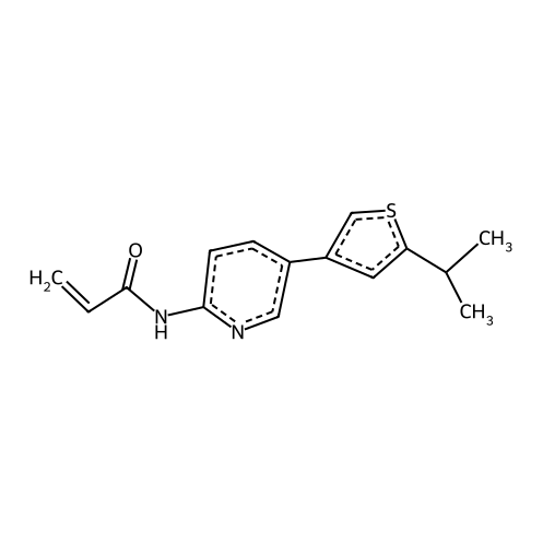 C=CC(=O)Nc1ccc(-c2csc(C(C)C)c2)cn1